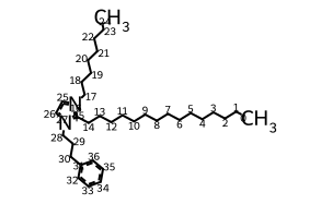 CCCCCCCCCCCCCCCc1n(CCCCCCCC)cc[n+]1CCCc1ccccc1